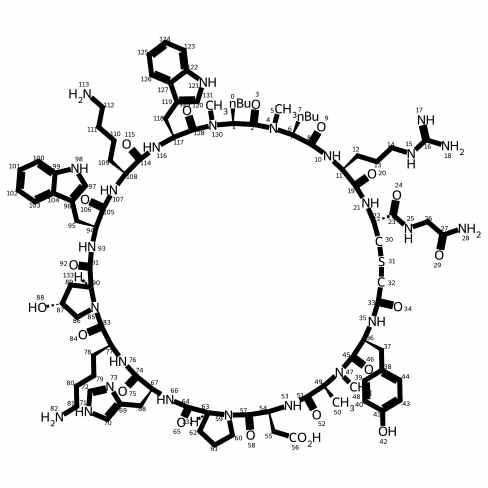 CCCC[C@H]1C(=O)N(C)[C@@H](CCCC)C(=O)N[C@@H](CCCNC(=N)N)C(=O)N[C@H](C(=O)NCC(N)=O)CSCC(=O)N[C@@H](Cc2ccc(O)cc2)C(=O)N(C)[C@@H](C)C(=O)N[C@@H](CC(=O)O)C(=O)N2CCC[C@H]2C(=O)N[C@@H](Cc2c[nH]cn2)C(=O)N[C@@H](CCCCN)C(=O)N2C[C@H](O)C[C@H]2C(=O)N[C@@H](Cc2c[nH]c3ccccc23)C(=O)N[C@@H](CCCCN)C(=O)N[C@@H](Cc2c[nH]c3ccccc23)C(=O)N1C